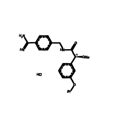 CO[C@H](C(=O)NCc1ccc(C(=N)N)cc1)c1cccc(OC(C)C)c1.Cl